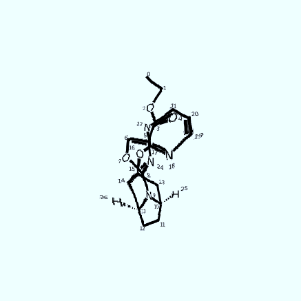 CCOC(=O)c1coc(N2[C@@H]3CC[C@H]2C[C@@H](Oc2ncccn2)C3)n1